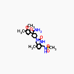 COc1cc(C2(C(N)=O)CCC(N3Cc4c(C)ccc(CNS(C)(=O)=O)c4NC3=O)CC2)ccc1C